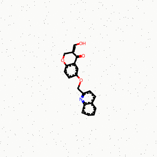 O=C1C(=CO)COc2ccc(OCc3ccc4ccccc4n3)cc21